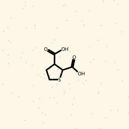 O=C(O)C1CCSC1C(=O)O